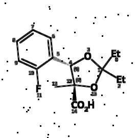 CCC1(CC)O[C@@H](c2ccccc2F)[C@](C)(C(=O)O)O1